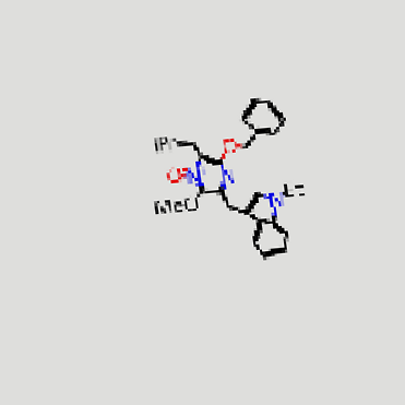 CCn1cc(Cc2nc(OCc3ccccc3)c(CC(C)C)[n+]([O-])c2OC)c2ccccc21